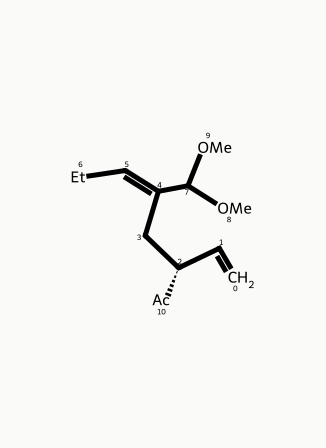 C=C[C@@H](C/C(=C\CC)C(OC)OC)C(C)=O